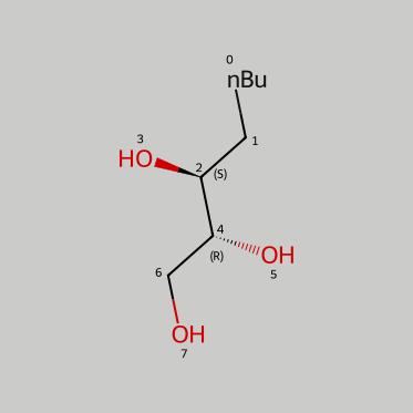 CCCCC[C@H](O)[C@H](O)CO